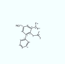 CN(C)Cc1c(-c2ccccc2)cccc1C(F)F.Cl